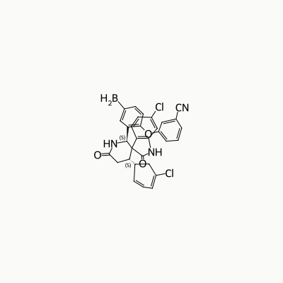 Bc1ccc(Oc2cccc(C#N)c2)c([C@@H]2NC(=O)C[C@@H](C3C=CC=C(Cl)C3)C23C(=O)Nc2cc(Cl)ccc23)c1